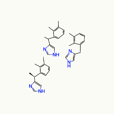 Cc1cccc(C(C)c2c[nH]cn2)c1C.Cc1cccc(Cc2c[nH]cn2)c1C.Cc1cccc([C@H](C)c2c[nH]cn2)c1C